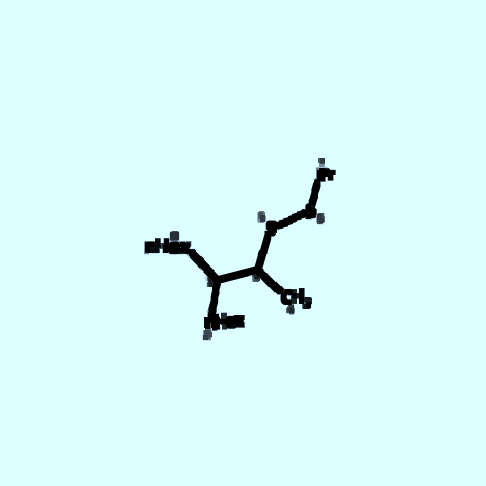 CCCCCCC(CCCCCC)C(C)SSC(C)C